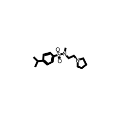 CC(C)c1ccc(S(=O)(=O)N(C)CCN2CCCC2)cc1